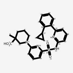 CC1(C(=O)O)CCCN(c2cccc(S(=O)(=O)Nc3cccc(-c4ccccc4C4CC4)n3)n2)C1